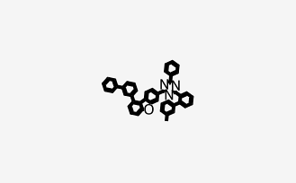 Cc1cccc(-c2ccccc2-c2nc(-c3ccccc3)nc(-c3ccc4c(c3)oc3cccc(-c5cccc(-c6ccccc6)c5)c34)n2)c1